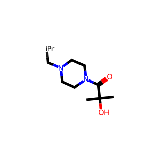 CC(C)CN1CCN(C(=O)C(C)(C)O)CC1